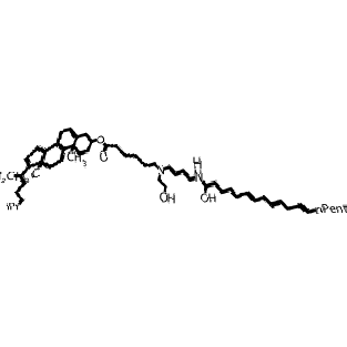 CCCCC/C=C/C/C=C/C/C=C/CCCCC(O)NCCCCN(CCO)CCCCCC(=O)OC1CCC2(C)C(=CCC3C2CCC2(C)C(C(C)CCCC(C)C)CCC32)C1